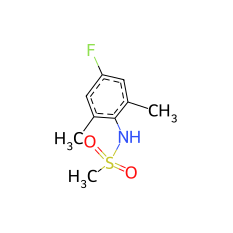 Cc1cc(F)cc(C)c1NS(C)(=O)=O